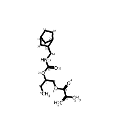 C=C(C)C(=O)OCC(CC)OC(=O)NCC1CC2CCC1C2